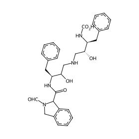 O=CN1Cc2ccccc2C1C(=O)N[C@@H](Cc1ccccc1)C(O)CNC[C@@H](O)[C@H](Cc1ccccc1)NC(=O)O